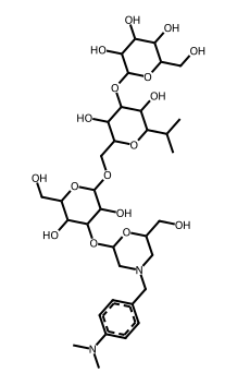 CC(C)C1OC(COC2OC(CO)C(O)C(OC3CN(Cc4ccc(N(C)C)cc4)CC(CO)O3)C2O)C(O)C(OC2OC(CO)C(O)C(O)C2O)C1O